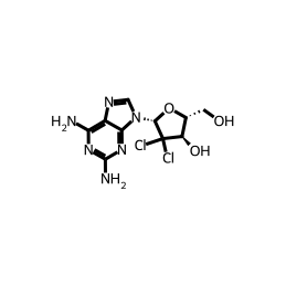 Nc1nc(N)c2ncn([C@@H]3O[C@H](CO)[C@@H](O)C3(Cl)Cl)c2n1